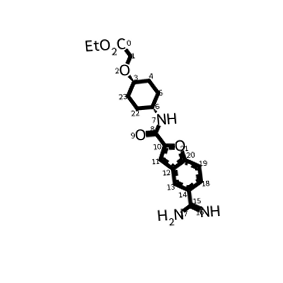 CCOC(=O)CO[C@H]1CC[C@H](NC(=O)c2cc3cc(C(=N)N)ccc3o2)CC1